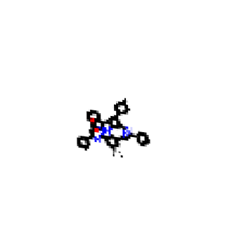 Cc1ccc(-c2cc3c4ccccc4n4c3cc2c2nc(-c3ccccc3)cc(n2)c2cc(C#N)cc(-c3nc(-c5ccccc5)cc(-c5ccccc5)n3)c24)cc1